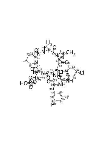 C[C@H]1CN2C(=O)[C@H](C)NC(=O)[C@@H]3CCCCN3C(=O)[C@@H]3C[C@@H](OP(=O)(O)O)CN3C(=O)[C@@H](NC(=O)[C@H](Cc3cc(F)cc(F)c3)NC(=O)Nc3cccc(Cl)c3)[C@H](C)C3C(=O)[C@]32C1